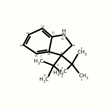 CC(C)(C)C1(C(C)(C)C)CNc2ccccc21